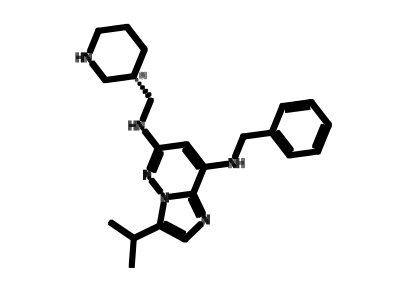 CC(C)c1cnc2c(NCc3ccccc3)cc(NC[C@H]3CCCNC3)nn12